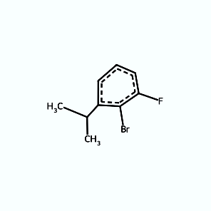 CC(C)c1cccc(F)c1Br